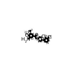 COc1cc(C(=O)CN2CCN(c3cccc(Cl)c3Cl)CC2)cc(N)c1OC